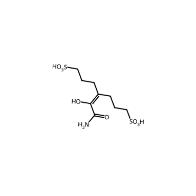 NC(=O)C(O)=C(CCCS(=O)(=O)O)CCCS(=O)(=O)O